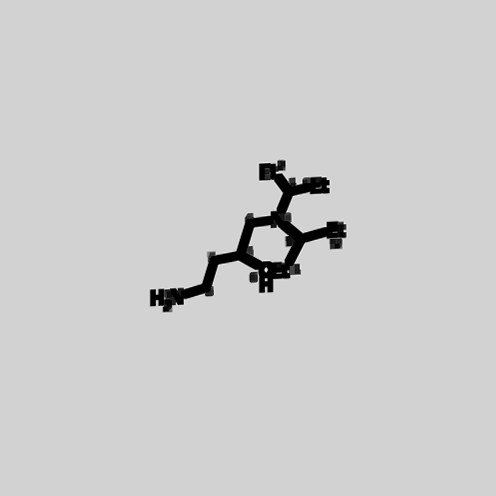 CCC(CC)N(CC(O)CCN)C(CC)CC